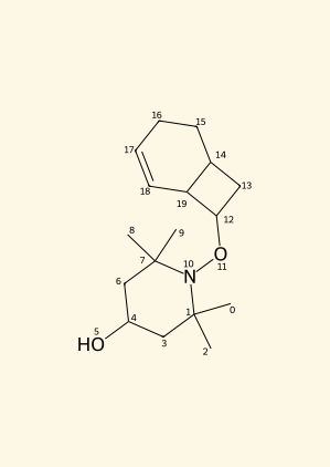 CC1(C)CC(O)CC(C)(C)N1OC1CC2CCC=CC21